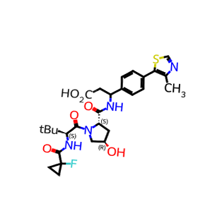 Cc1ncsc1-c1ccc(C(CC(=O)O)NC(=O)[C@@H]2C[C@@H](O)CN2C(=O)[C@@H](NC(=O)C2(F)CC2)C(C)(C)C)cc1